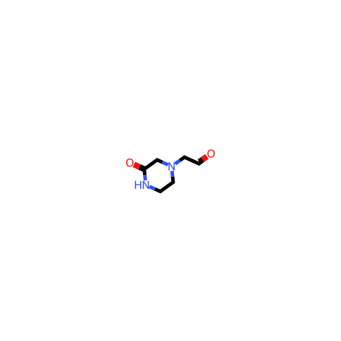 O=CCN1CCNC(=O)C1